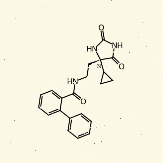 O=C1NC(=O)[C@](CCNC(=O)c2ccccc2-c2ccccc2)(C2CC2)N1